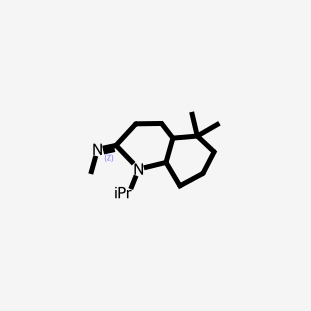 C/N=C1/CCC2C(CCCC2(C)C)N1C(C)C